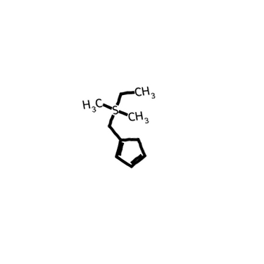 CCS(C)(C)CC1=CC=CC1